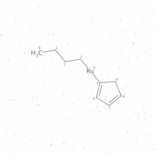 CCC[CH2][Ru][C]1=CC=CC1